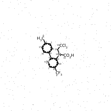 Cc1ccc(-c2ncc(C(F)(F)F)cc2N(CC(Cl)(Cl)Cl)C(=O)O)cc1